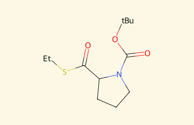 CCSC(=O)C1CCCN1C(=O)OC(C)(C)C